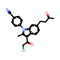 CC(=O)CCc1ccc2c(C(=O)CCl)c(C)n(-c3ccc(C#N)cc3)c2c1